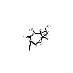 CCCCC(C)C1(C)N(C(C)C)C(=O)C(C)COC1(C)C(C)C